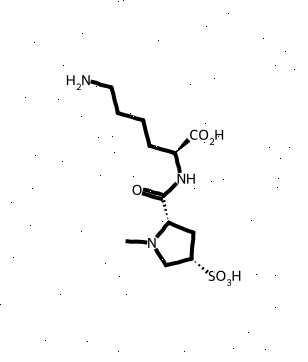 CN1C[C@@H](S(=O)(=O)O)C[C@H]1C(=O)N[C@@H](CCCCN)C(=O)O